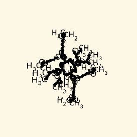 C=C(C)C(=O)OCCCCCCOc1ccc(-c2c3nc(c(-c4ccc(OCC(CC)CCCC)c(OCC(CC)CCCC)c4)c4ccc([nH]4)c(-c4ccc(OCCCCCCOC(=O)C(=C)C)c(OCCCCCCOC(=O)C(=C)C)c4)c4nc(c(-c5ccc(OCC(CC)CCCC)c(OCC(CC)CCCC)c5)c5ccc2[nH]5)C=C4)C=C3)cc1OCCCCCCOC(=O)C(=C)C